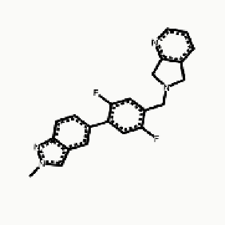 Cn1cc2cc(-c3cc(F)c(CN4Cc5cccnc5C4)cc3F)ccc2n1